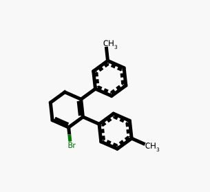 Cc1ccc(C2=C(c3cccc(C)c3)[CH]CC=C2Br)cc1